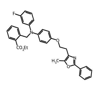 CCOC(=O)c1ccccc1CN(c1ccc(OCCc2nc(-c3ccccc3)oc2C)cc1)c1cccc(F)c1